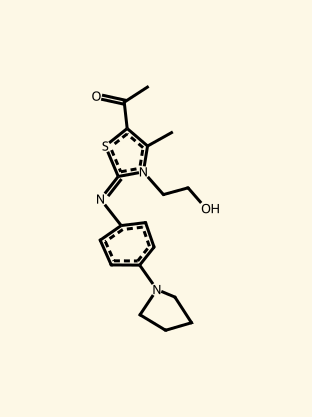 CC(=O)c1sc(=Nc2ccc(N3CCCC3)cc2)n(CCO)c1C